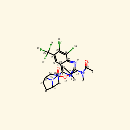 CC(=O)N(C)c1nc(N2CC3CCC(C2)N3C(=O)OC(C)(C)C)c2cc(C(F)(F)F)c(Br)c(F)c2n1